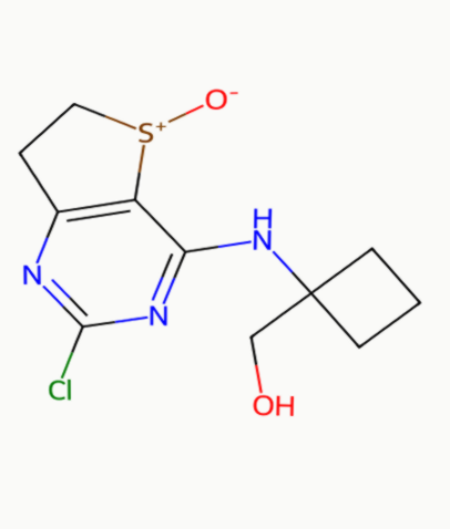 [O-][S+]1CCc2nc(Cl)nc(NC3(CO)CCC3)c21